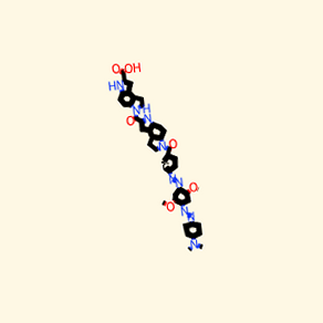 COc1cc(/N=N/c2ccc(N(C)C)cc2)c(OC)cc1/N=N/c1ccc(C(=O)N2CCc3c2ccc2[nH]c(C(=O)N4CCc5c4ccc4[nH]c(C(=O)O)cc54)cc32)cc1